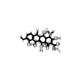 CCc1ccc2c(c1O)C(=O)C1=C(O)C3(O)C(=O)C(C(N)=O)=C(O)C(N(C)C)C3C(O)C1C2C